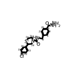 NNC(=O)c1ccc(CNC(=O)N2CCSC(c3ccc(Cl)cc3)C2)cc1